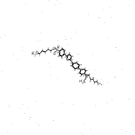 CCCCCCOS(=O)(=O)c1ccc(-c2ccc(-c3ccc(-c4ccc(N(C)CCCCCC)cc4)cc3)s2)cc1